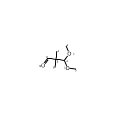 COC(OC)C(C)(C)C=O